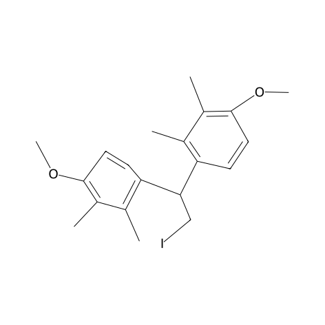 COc1ccc(C(CI)c2ccc(OC)c(C)c2C)c(C)c1C